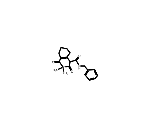 C[N+]1(C)C(=O)C2=C(CCCC2)C(C(=O)NCc2ccccc2)C1=O